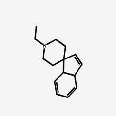 CCN1CCC2(C=CC3C=CC=CC32)CC1